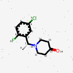 C[C@H](c1cc(Cl)ccc1F)N1CCC(=O)CC1